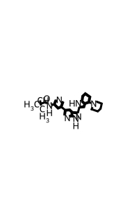 CC(C)(C)C(=O)Nc1cncc(-c2cnc3[nH]nc(-c4cc5c(N6CCCCC6)cccc5[nH]4)c3c2)c1